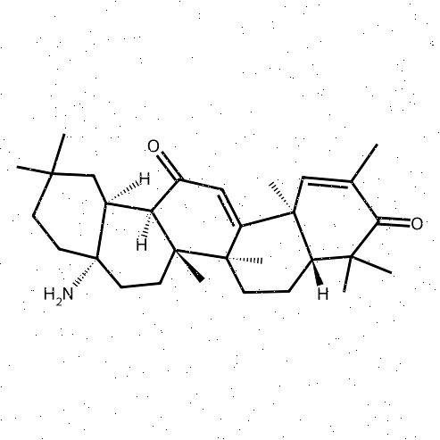 CC1=C[C@]2(C)C3=CC(=O)[C@@H]4[C@@H]5CC(C)(C)CC[C@]5(N)CC[C@@]4(C)[C@]3(C)CC[C@H]2C(C)(C)C1=O